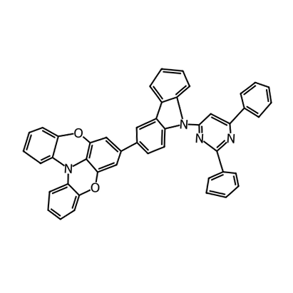 c1ccc(-c2cc(-n3c4ccccc4c4cc(-c5cc6c7c(c5)Oc5ccccc5N7c5ccccc5O6)ccc43)nc(-c3ccccc3)n2)cc1